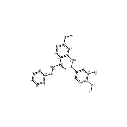 COc1ncc(CNc2nc(SC)ncc2C(=O)NCc2ncccn2)cc1Cl